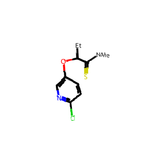 CCC(Oc1ccc(Cl)nc1)C(=S)NC